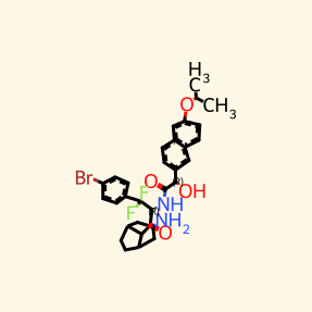 CC(C)Oc1ccc2cc([C@@H](O)C(=O)N[C@H](C(=O)C3C4CCC3CC(N)C4)C(F)(F)c3ccc(Br)cc3)ccc2c1